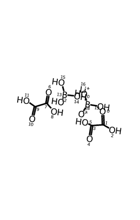 O=C(O)C(=O)O.O=C(O)C(=O)O.OB(O)O.[Li+].[O-]B(O)O